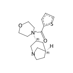 O=C(c1cccs1)[N+]1([C@@H]2C[C@H]3CCN(C3)C2)CCOCC1